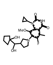 COc1c(N2CCC(C(O)C3(O)CCCC3)C2)c(F)c(C)c2c(=O)[nH]c(=O)n(C3CC3)c12